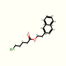 O=C(CCCCBr)OCCc1ccc2ccccc2c1